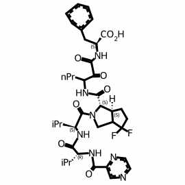 CCCC(NC(=O)[C@@H]1[C@H]2CCC(F)(F)C2CN1C(=O)[C@@H](NC(=O)[C@H](NC(=O)c1cnccn1)C(C)C)C(C)C)C(=O)C(=O)N[C@@H](Cc1ccccc1)C(=O)O